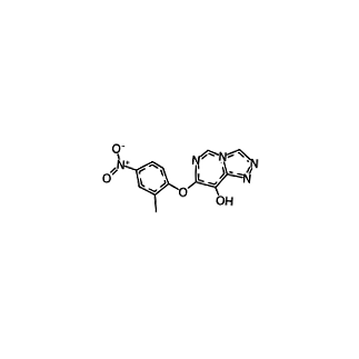 Cc1cc([N+](=O)[O-])ccc1Oc1ncn2cnnc2c1O